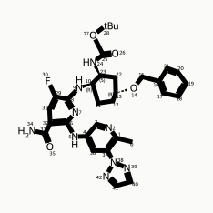 Cc1ncc(Nc2nc(N[C@@H]3CC[C@@H](OCc4ccccc4)C[C@@H]3NC(=O)OC(C)(C)C)c(F)cc2C(N)=O)cc1-n1nccn1